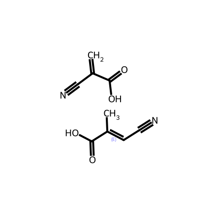 C/C(=C\C#N)C(=O)O.C=C(C#N)C(=O)O